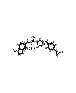 Cn1ncc2cc(CNC(=O)[C@@H]3C[C@@H](Cc4ccc(C5CC5)cc4)CN3C(=O)O)ccc21